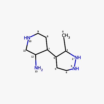 CC1NNCCC1C1CCNCC1N